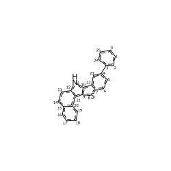 c1ccc(-c2ccc3sc4c([nH]c5ccc6ccccc6c54)c3c2)cc1